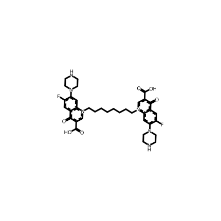 O=C(O)c1cn(CCCCCCCCn2cc(C(=O)O)c(=O)c3cc(F)c(N4CCNCC4)cc32)c2cc(N3CCNCC3)c(F)cc2c1=O